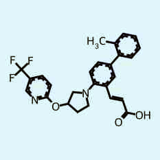 Cc1ccccc1-c1ccc(N2CCC(Oc3ccc(C(F)(F)F)cn3)C2)c(C=CC(=O)O)c1